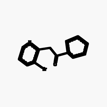 O=C(Cc1ncccc1Br)c1ccccc1